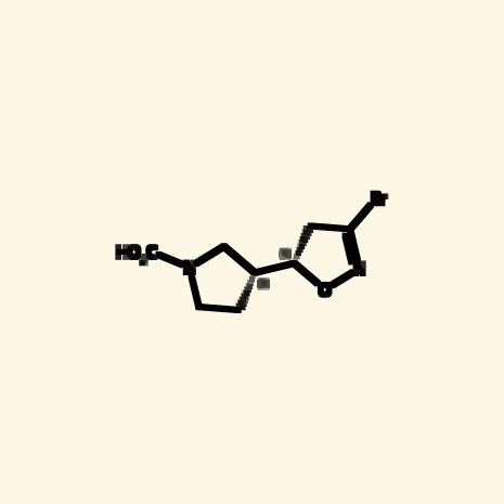 O=C(O)N1CC[C@@H]([C@@H]2CC(Br)=NO2)C1